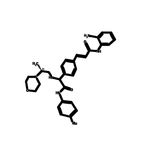 C[C@H](CNC(C(=O)Nc1ccc(C(C)(C)C)cc1)c1ccc(C=CC(=O)Nc2ccccc2N)cc1)N1CCOCC1